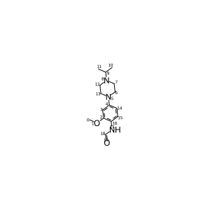 COc1cc(N2CCN(C(C)C)CC2)ccc1NC=O